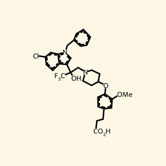 COc1cc(CCC(=O)O)ccc1OC1CCN(CC(O)(c2cn(Cc3ccccc3)c3cc(Cl)ccc23)C(F)(F)F)CC1